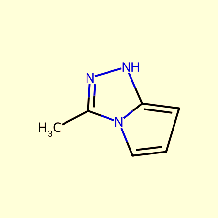 Cc1n[nH]c2cccn12